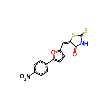 O=C1NC(=S)SC1=Cc1ccc(-c2ccc([N+](=O)[O-])cc2)o1